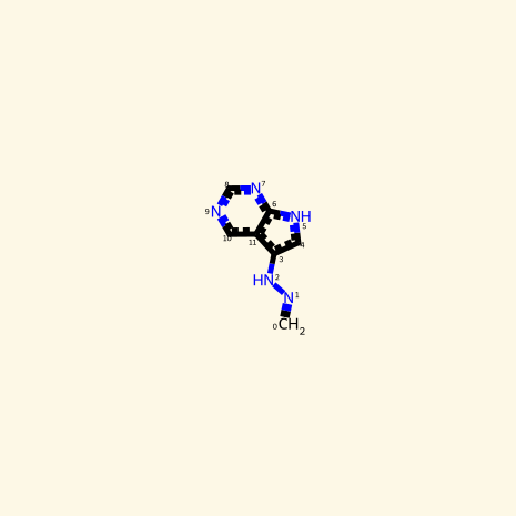 C=NNc1c[nH]c2ncncc12